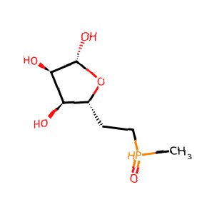 C[PH](=O)CC[C@H]1O[C@@H](O)[C@H](O)[C@@H]1O